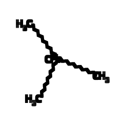 CCCCCCCCCCC[CH2][Pb]([Cl])([CH2]CCCCCCCCCCC)[CH2]CCCCCCCCCCC